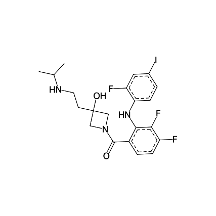 CC(C)NCCC1(O)CN(C(=O)c2ccc(F)c(F)c2Nc2ccc(I)cc2F)C1